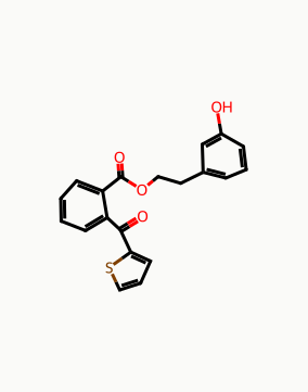 O=C(OCCc1cccc(O)c1)c1ccccc1C(=O)c1cccs1